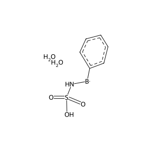 O.O.O=S(=O)(O)N[B]c1ccccc1